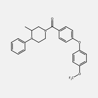 CC1CN(C(=O)c2ccc(Oc3ccc(OC(F)(F)F)cc3)cc2)CCN1c1ccccc1